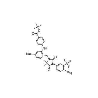 CC(C)(C)OC(=O)c1ccc(Nc2cc(C#N)ccc2CN2C(=O)N(c3ccc(C#N)c(C(F)(F)F)c3)C(=O)C2(C)C)cc1